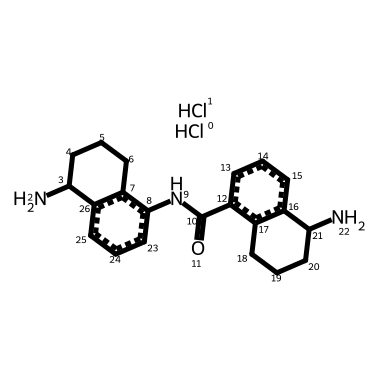 Cl.Cl.NC1CCCc2c(NC(=O)c3cccc4c3CCCC4N)cccc21